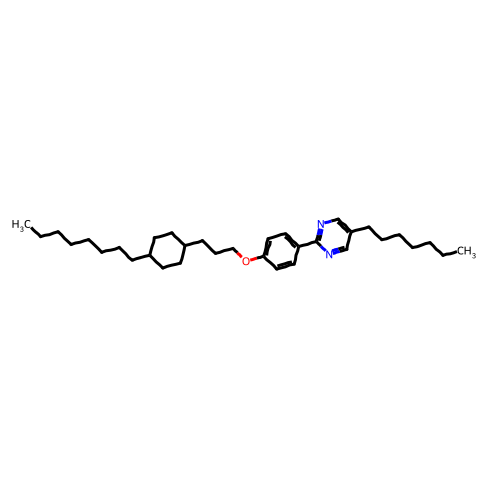 CCCCCCCCC1CCC(CCCOc2ccc(-c3ncc(CCCCCCC)cn3)cc2)CC1